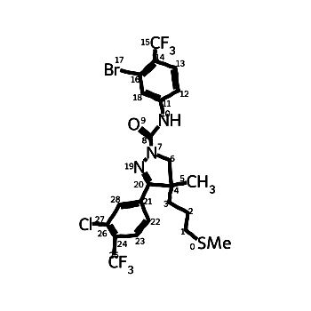 CSCCCC1(C)CN(C(=O)Nc2ccc(C(F)(F)F)c(Br)c2)N=C1c1ccc(C(F)(F)F)c(Cl)c1